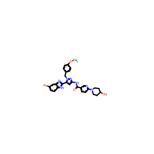 COc1ccc(Cn2nc(NC(=O)c3ccc(N4CCC(O)CC4)nc3)cc2-c2nc3cc(Br)ccc3[nH]2)cc1